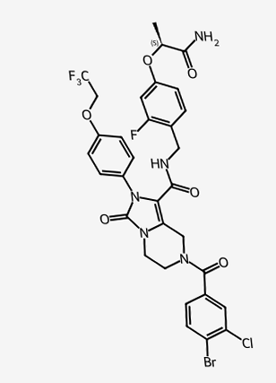 C[C@H](Oc1ccc(CNC(=O)c2c3n(c(=O)n2-c2ccc(OCC(F)(F)F)cc2)CCN(C(=O)c2ccc(Br)c(Cl)c2)C3)c(F)c1)C(N)=O